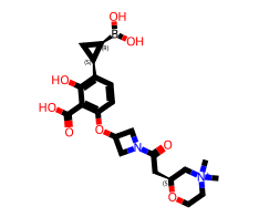 C[N+]1(C)CCO[C@@H](CC(=O)N2CC(Oc3ccc([C@H]4C[C@H]4B(O)O)c(O)c3C(=O)O)C2)C1